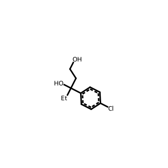 CCC(O)(CCO)c1ccc(Cl)cc1